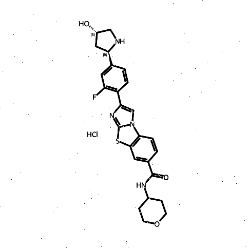 Cl.O=C(NC1CCOCC1)c1ccc2c(c1)sc1nc(-c3ccc([C@H]4C[C@H](O)CN4)cc3F)cn12